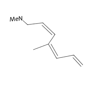 C=C/C=C(C)\C=C/CNC